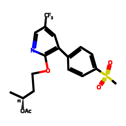 CC(=O)O[C@H](C)CCOc1ncc(C(F)(F)F)cc1-c1ccc(S(C)(=O)=O)cc1